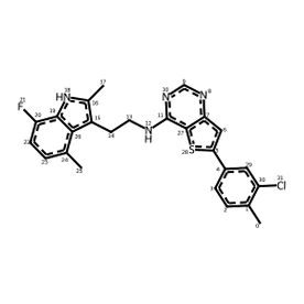 Cc1ccc(-c2cc3ncnc(NCCc4c(C)[nH]c5c(F)ccc(C)c45)c3s2)cc1Cl